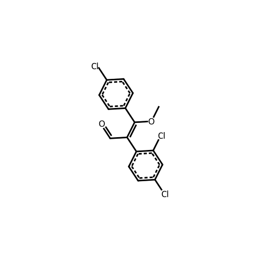 COC(=C(C=O)c1ccc(Cl)cc1Cl)c1ccc(Cl)cc1